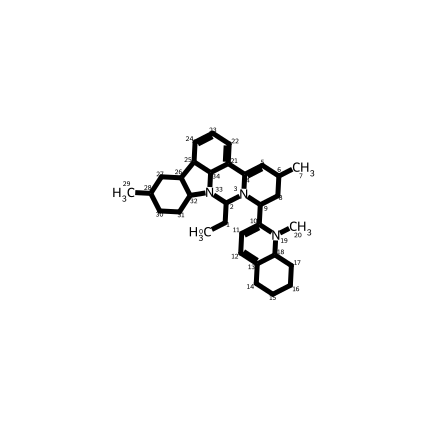 CCC1N2C(=CC(C)CC2C2=CC=C3CCCCC3N2C)C2=CC=CC3C4CC(C)CCC4N1C23